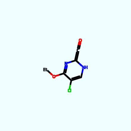 CCOC1=NC(=C=O)NC=C1Cl